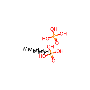 O=P(O)(O)O.O=P(O)(O)O.[MgH2].[MgH2].[MgH2].[Mn]